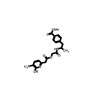 COC(=O)c1ccc(CC(C)NC(=O)COC(=O)Cc2ccc(N)c(C#N)n2)cc1